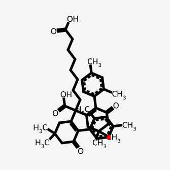 Cc1ccc(C2=C(C(CCCCCCCC(=O)O)(C(=O)O)C3=C(c4ccc(C)cc4C)C(=O)CC(C)(C)C3)CC(C)(C)CC2=O)c(C)c1